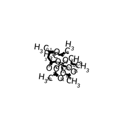 CC(=O)CC(=O)[O][Ti]([O]C(C)=O)([O]C(C)=O)([O]C(C)C)[O]C(C)C